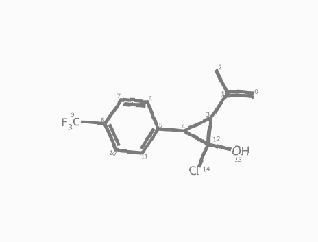 C=C(C)C1C(c2ccc(C(F)(F)F)cc2)C1(O)Cl